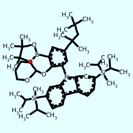 CC(C)[Si](C)(c1ccc2c3ccc([Si](C)(C(C)C)C(C)C)cc3n(-c3cc(C(C)(C)CC(C)(C)C)cc(B4OC(C)(C)C(C)(C)O4)c3OC3CCCCO3)c2c1)C(C)C